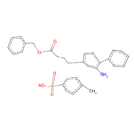 Cc1ccc(S(=O)(=O)O)cc1.Nc1cc(CCCC(=O)OCc2ccccc2)ccc1-c1ccccc1